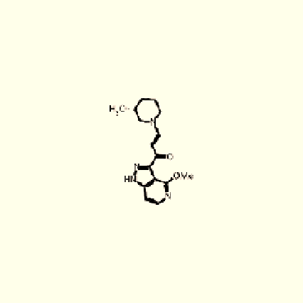 COc1nccc2[nH]nc(C(=O)/C=C/N3CCC[C@@H](C)C3)c12